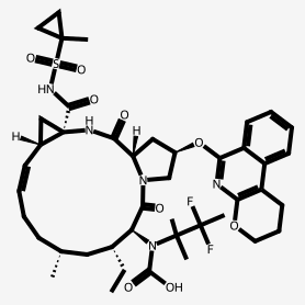 CC[C@@H]1C[C@H](C)CCC=C[C@@H]2C[C@@]2(C(=O)NS(=O)(=O)C2(C)CC2)NC(=O)[C@@H]2C[C@@H](Oc3nc4c(c5ccccc35)CCCO4)CN2C(=O)[C@H]1N(C(=O)O)C(C)(C)C(C)(F)F